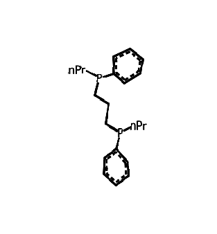 CCCP(CCCP(CCC)c1ccccc1)c1ccccc1